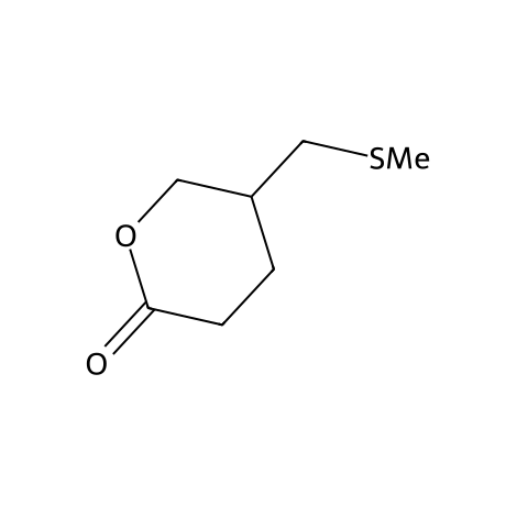 CSCC1CCC(=O)OC1